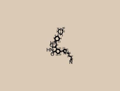 CN1CCN(c2ccc(N/C=C3\C(=O)NC(=O)c4ccc(-c5ccn(CCCC#N)c5)cc43)cc2)CC1